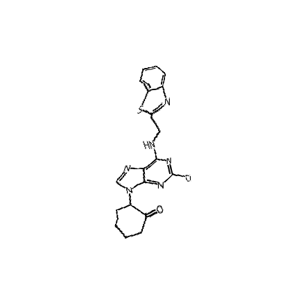 O=C1CCCCC1n1cnc2c(NCc3nc4ccccc4s3)nc(Cl)nc21